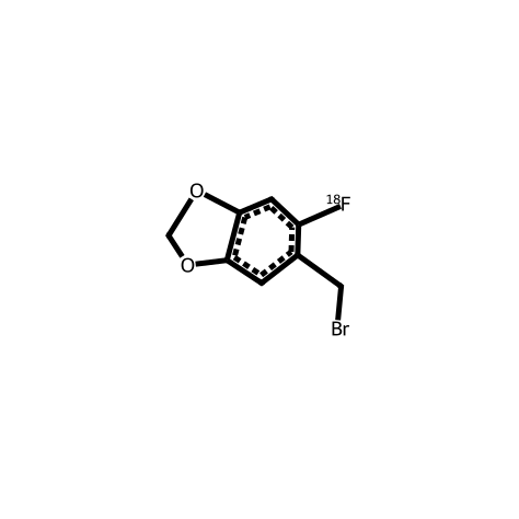 [18F]c1cc2c(cc1CBr)OCO2